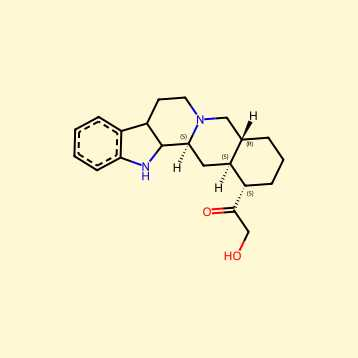 O=C(CO)[C@H]1CCC[C@H]2CN3CCC4c5ccccc5NC4[C@@H]3C[C@@H]21